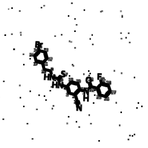 N#Cc1cc(NC(=S)NCCc2ccc(Br)cc2)ccc1NC(=O)c1ccccc1F